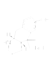 Br.CC1(C)c2cc(O)ccc2C[C@H]2NCCC[C@H]21